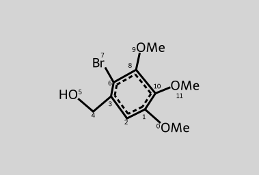 COc1cc(CO)c(Br)c(OC)c1OC